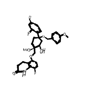 COc1ccc(COC2(c3ccc(Cl)cc3F)CC[C@@](O)(COc3ccc(F)c4c3CCC(=O)N4)[C@H](O)C2)cc1